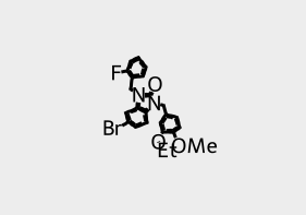 CCOc1cc(Cn2c(=O)n(Cc3ccccc3F)c3cc(Br)ccc32)ccc1OC